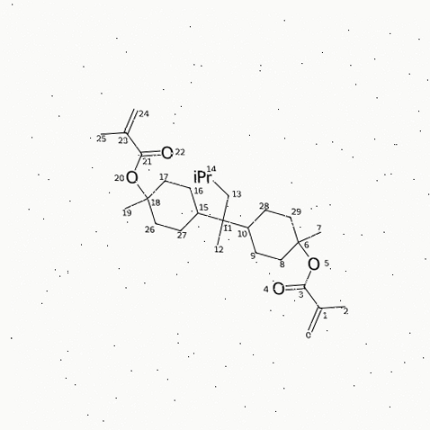 C=C(C)C(=O)OC1(C)CCC(C(C)(CC(C)C)C2CCC(C)(OC(=O)C(=C)C)CC2)CC1